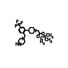 CC(C)(C)OC(=O)CN1CCC(c2cc(C(F)(F)F)ccc2CN2CCNCC2)CC1